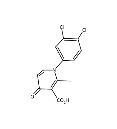 Cc1c(C(=O)O)c(=O)ccn1-c1ccc(Cl)c(Cl)c1